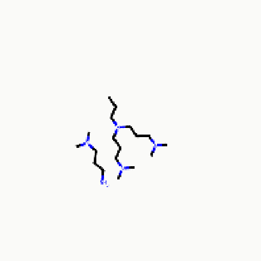 CN(C)CCCN.C[CH]CN(CCCN(C)C)CCCN(C)C